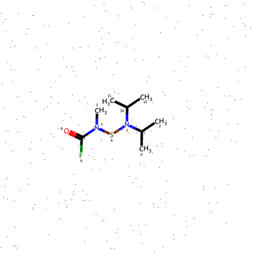 CC(C)N(SN(C)C(=O)F)C(C)C